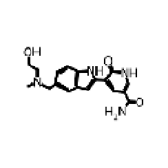 CN(CCO)Cc1ccc2[nH]c(-c3cc(C(N)=O)c[nH]c3=O)cc2c1